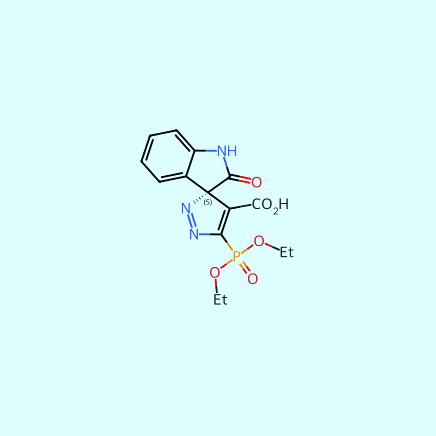 CCOP(=O)(OCC)C1=C(C(=O)O)[C@]2(N=N1)C(=O)Nc1ccccc12